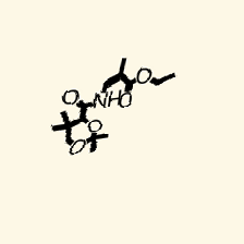 CCOC(=O)/C(C)=C\NC(=O)C1OC(C)(C)OCC1(C)C